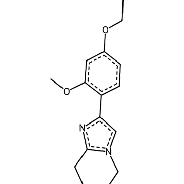 CCOc1ccc(-c2cn3c(n2)CCCC3)c(OC)c1